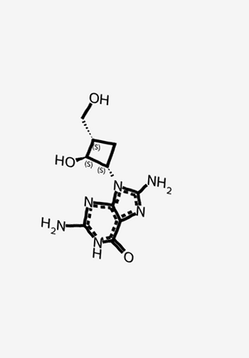 Nc1nc2c(nc(N)n2[C@H]2C[C@@H](CO)[C@@H]2O)c(=O)[nH]1